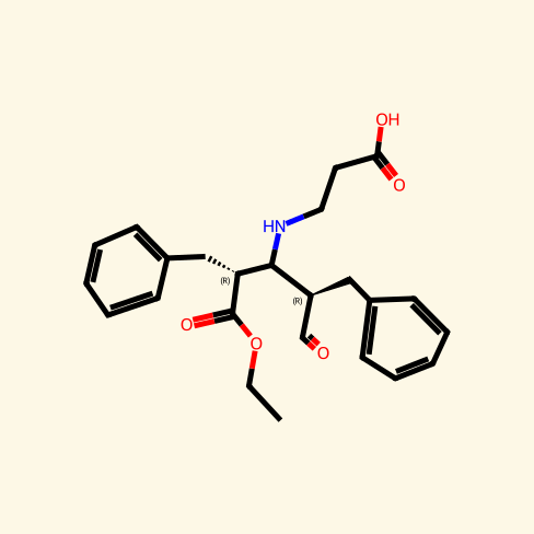 CCOC(=O)[C@H](Cc1ccccc1)C(NCCC(=O)O)[C@H](C=O)Cc1ccccc1